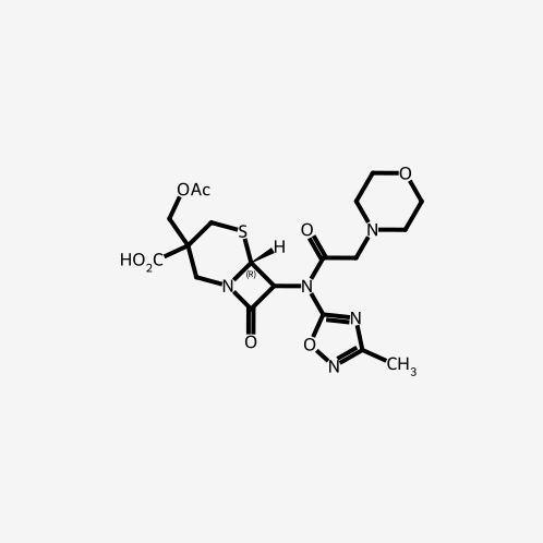 CC(=O)OCC1(C(=O)O)CS[C@@H]2C(N(C(=O)CN3CCOCC3)c3nc(C)no3)C(=O)N2C1